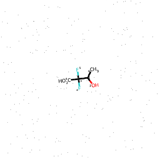 CC(O)C(F)(F)C(=O)O